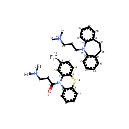 CCN(CC)CCC(=O)N1c2ccccc2Sc2ccc(C(F)(F)F)cc21.CN(C)CCCN1c2ccccc2CCc2ccccc21